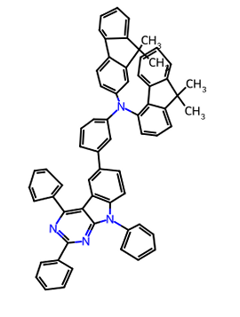 CC1(C)c2ccccc2-c2ccc(N(c3cccc(-c4ccc5c(c4)c4c(-c6ccccc6)nc(-c6ccccc6)nc4n5-c4ccccc4)c3)c3cccc4c3-c3ccccc3C4(C)C)cc21